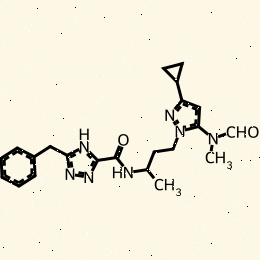 CC(CCn1nc(C2CC2)cc1N(C)C=O)NC(=O)c1nnc(Cc2ccccc2)[nH]1